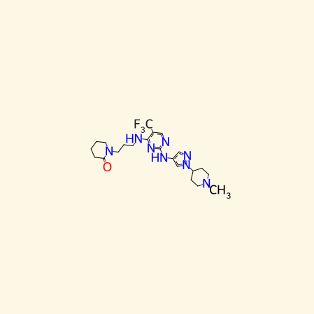 CN1CCC(n2cc(Nc3ncc(C(F)(F)F)c(NCCCN4CCCCC4=O)n3)cn2)CC1